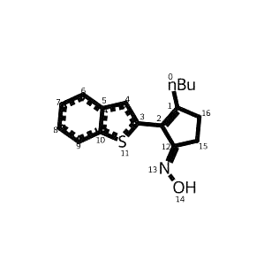 CCCCC1=C(c2cc3ccccc3s2)C(=NO)CC1